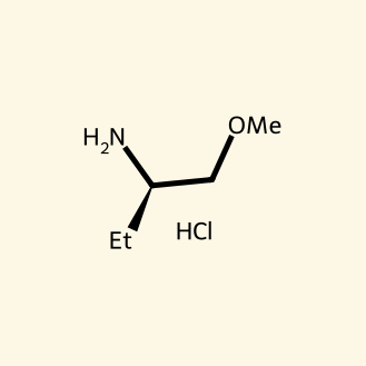 CC[C@@H](N)COC.Cl